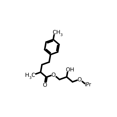 Cc1ccc(CCC(C)C(=O)OCC(O)COC(C)C)cc1